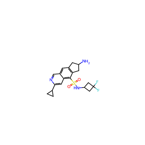 NC1Cc2cc3cnc(C4CC4)cc3c(S(=O)(=O)NC3CC(F)(F)C3)c2C1